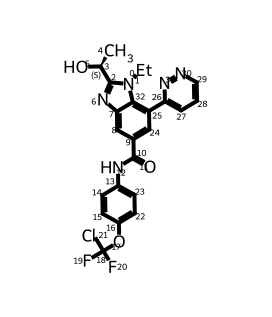 CCn1c([C@H](C)O)nc2cc(C(=O)Nc3ccc(OC(F)(F)Cl)cc3)cc(-c3cccnn3)c21